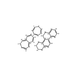 C1=CC=CCC=C1.C1=NC=c2ccccc2=CS1.c1ccc2c(c1)CCc1c-2ccc2c1CCCC2